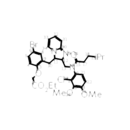 CCOC(=O)COc1ccc(Br)cc1CC1C(CN(C(=O)CCC(C)C)c2ccc(OC)c(OC)c2Cl)N=C2C=CC=CN21